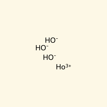 [Ho+3].[OH-].[OH-].[OH-]